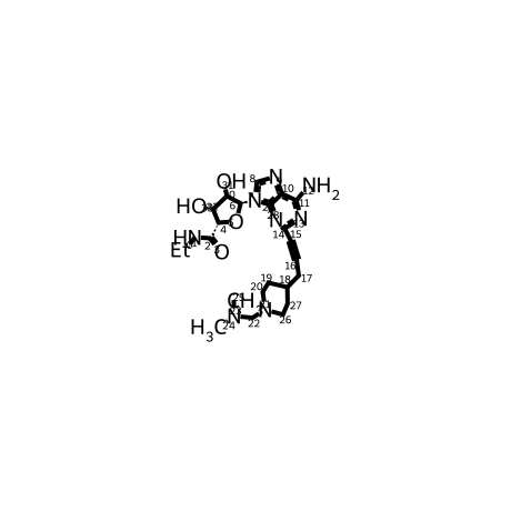 CCNC(=O)[C@H]1O[C@@H](n2cnc3c(N)nc(C#CCC4CCN(CN(C)C)CC4)nc32)C(O)[C@H]1O